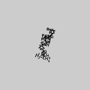 CC(C)(C)OC(=O)N1CCC[C@H](C(=O)Nc2cnc(NC(=O)c3cccc(Br)n3)c(C(F)(F)F)c2)C1